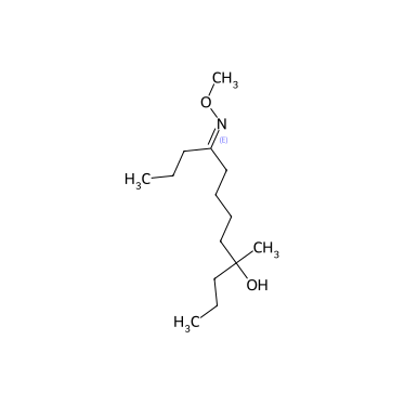 CCC/C(CCCCC(C)(O)CCC)=N\OC